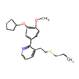 CCCSCCc1cccnc1-c1ccc(OC)c(OC2CCCC2)c1